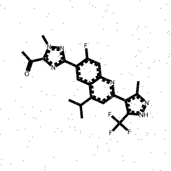 CC(=O)c1nc(-c2cc3c(C(C)C)cc(-c4c(C)n[nH]c4C(F)(F)F)nc3cc2F)nn1C